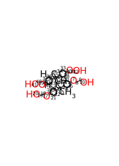 CC(C)(c1ccc(OCCO)cc1)c1ccc(OCCO)cc1.CC(C)(c1ccc(OCO)cc1)c1ccc(OCO)cc1